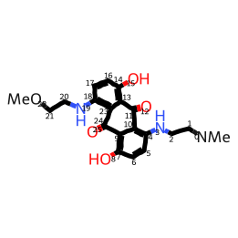 CNCCNc1ccc(O)c2c1C(=O)c1c(O)ccc(NCCOC)c1C2=O